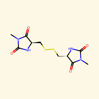 CN1C(=O)N[C@@H](CSSC[C@H]2NC(=O)N(C)C2=O)C1=O